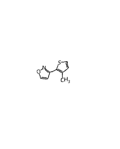 Cc1ccsc1-c1ccon1